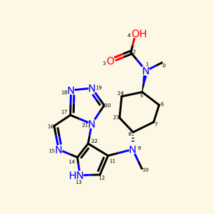 CN(C(=O)O)[C@H]1CC[C@H](N(C)c2c[nH]c3ncc4nncn4c23)CC1